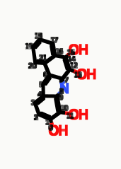 Oc1ccc2cc3c(nc2c1O)c(O)c(O)c1ccccc13